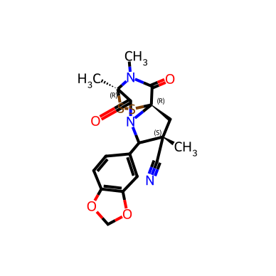 CN1C(=O)[C@]23C[C@](C)(C#N)C(c4ccc5c(c4)OCO5)N2C(=O)[C@@]1(C)SS3